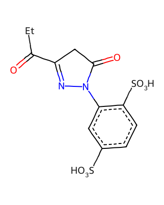 CCC(=O)C1=NN(c2cc(S(=O)(=O)O)ccc2S(=O)(=O)O)C(=O)C1